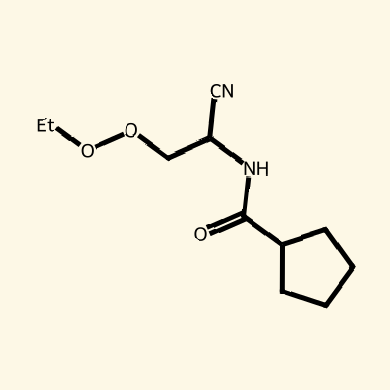 CCOOCC(C#N)NC(=O)C1CCCC1